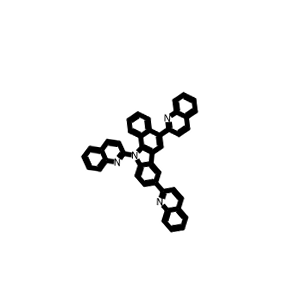 c1ccc2nc(-c3ccc4c(c3)c3cc(-c5ccc6ccccc6n5)c5ccccc5c3n4-c3ccc4ccccc4n3)ccc2c1